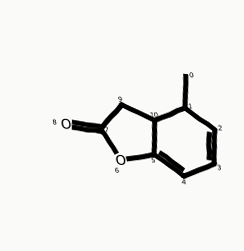 CC1C=CC=C2OC(=O)CC21